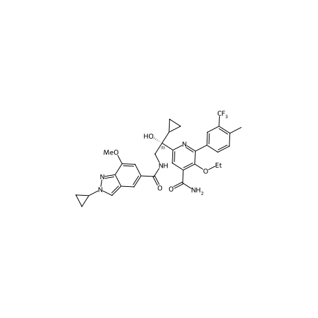 CCOc1c(C(N)=O)cc([C@@](O)(CNC(=O)c2cc(OC)c3nn(C4CC4)cc3c2)C2CC2)nc1-c1ccc(C)c(C(F)(F)F)c1